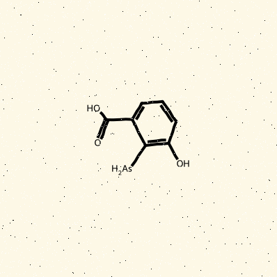 O=C(O)c1cccc(O)c1[AsH2]